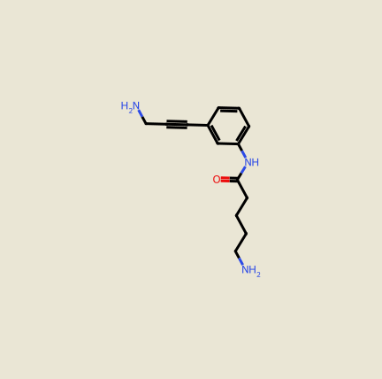 NCC#Cc1cccc(NC(=O)CCCCN)c1